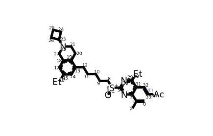 C=C(C)c1nc([S+]([O-])CCCCCc2cc(CC)cc3c2CCN(C2CCC2)C3)nc(CC)c1/C=C/C(C)=O